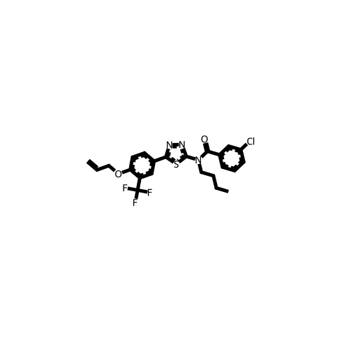 C=CCOc1ccc(-c2nnc(N(CCCC)C(=O)c3cccc(Cl)c3)s2)cc1C(F)(F)F